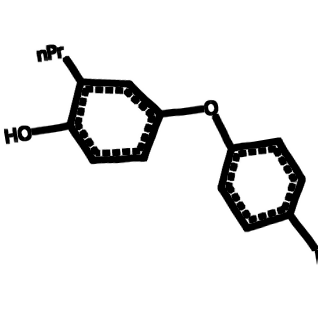 CCCc1cc(Oc2ccc(F)cc2)ccc1O